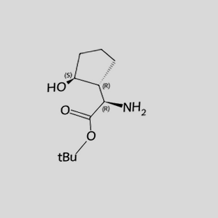 CC(C)(C)OC(=O)[C@H](N)[C@H]1CCC[C@@H]1O